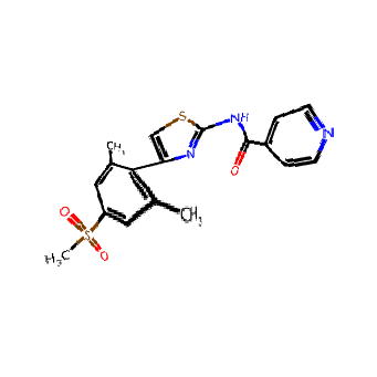 Cc1cc(S(C)(=O)=O)cc(C)c1-c1csc(NC(=O)c2ccncc2)n1